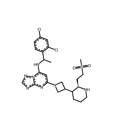 CC(Nc1cc(N2CC(C3CCCN[C@@H]3CCS(C)(=O)=O)C2)nc2ncnn12)c1ccc(Cl)cc1Cl